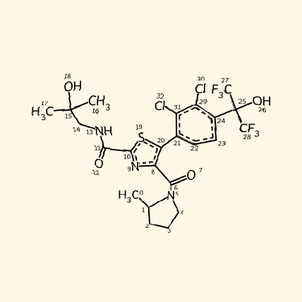 CC1CCCN1C(=O)c1nc(C(=O)NCC(C)(C)O)sc1-c1ccc(C(O)(C(F)(F)F)C(F)(F)F)c(Cl)c1Cl